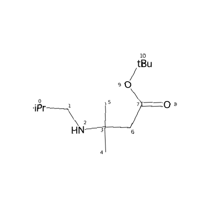 C[C](C)CNC(C)(C)CC(=O)OC(C)(C)C